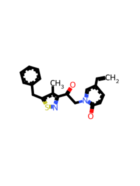 C=Cc1ccc(=O)n(CC(=O)c2nsc(Cc3ccccc3)c2C)c1